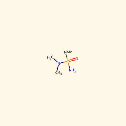 CNP(N)(=O)N(C)C